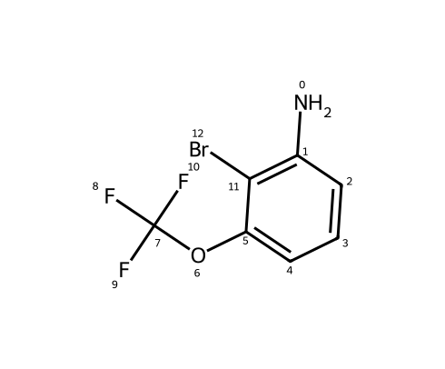 Nc1cccc(OC(F)(F)F)c1Br